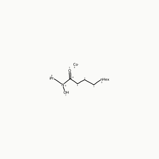 CCCCCCCCCC(=O)N(O)C(C)C.[Co]